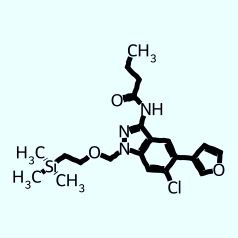 CCCC(=O)Nc1nn(COCC[Si](C)(C)C)c2cc(Cl)c(-c3ccoc3)cc12